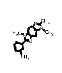 Cc1cccc(-c2nc3cc4c(cc3n2C)nc(C)n4C)c1